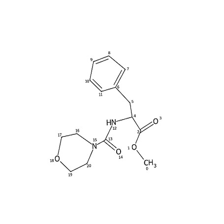 COC(=O)C(Cc1ccccc1)NC(=O)N1CCOCC1